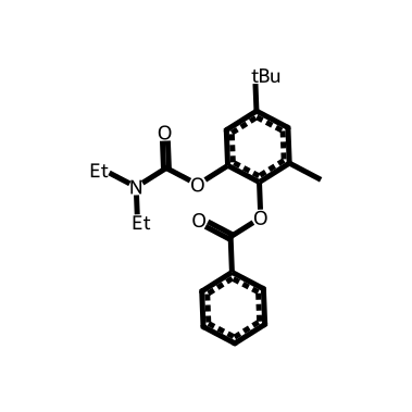 CCN(CC)C(=O)Oc1cc(C(C)(C)C)cc(C)c1OC(=O)c1ccccc1